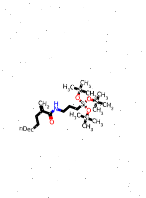 C=C(CCCCCCCCCCCC)C(=O)NCCC[Si](O[Si](C)(C)C)(O[Si](C)(C)C)O[Si](C)(C)C